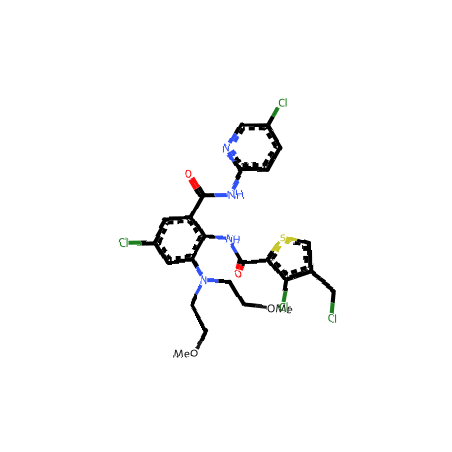 COCCN(CCOC)c1cc(Cl)cc(C(=O)Nc2ccc(Cl)cn2)c1NC(=O)c1scc(CCl)c1Cl